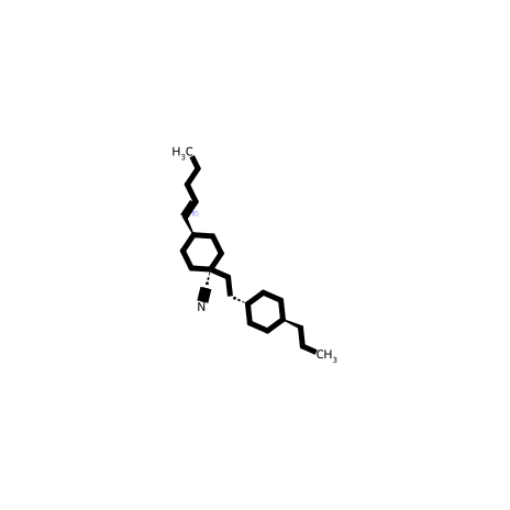 CCC/C=C/[C@H]1CC[C@@](C#N)(CC[C@H]2CC[C@H](CCC)CC2)CC1